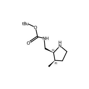 C[C@@H]1CCN[C@@H]1CNC(=O)OC(C)(C)C